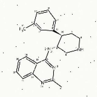 Cc1nc(N[C@H]2CNCC[C@@H]2c2cccc(C(F)(F)F)c2)c2ccccc2n1